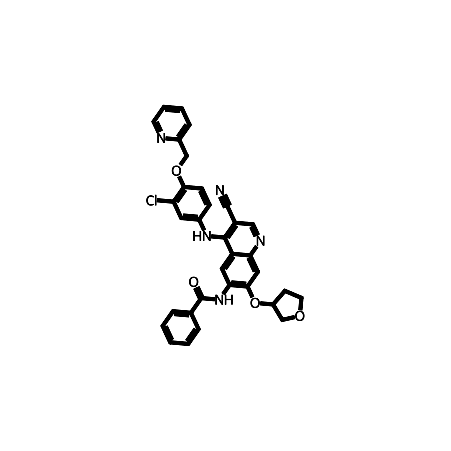 N#Cc1cnc2cc(OC3CCOC3)c(NC(=O)c3ccccc3)cc2c1Nc1ccc(OCc2ccccn2)c(Cl)c1